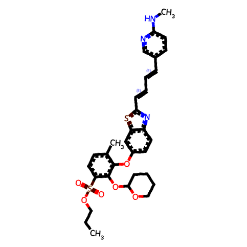 CCCOS(=O)(=O)c1ccc(C)c(Oc2ccc3nc(/C=C/C=C/c4ccc(NC)nc4)sc3c2)c1OC1CCCCO1